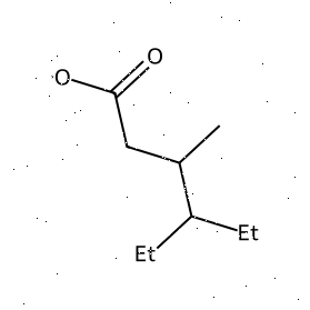 CCC(CC)C(C)CC([O])=O